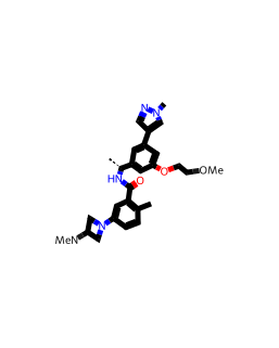 CNC1CN(c2ccc(C)c(C(=O)N[C@H](C)c3cc(OCCOC)cc(-c4cnn(C)c4)c3)c2)C1